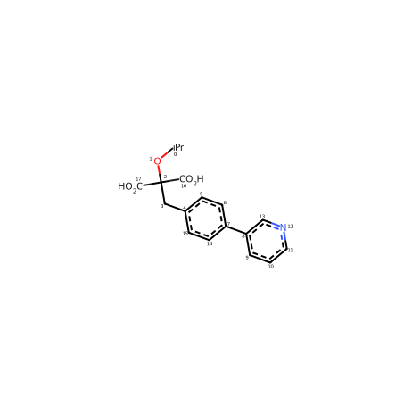 CC(C)OC(Cc1ccc(-c2cccnc2)cc1)(C(=O)O)C(=O)O